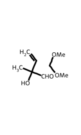 C=CC(C)(O)C=O.COCOC